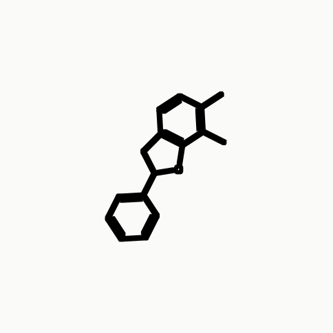 Cc1ccc2c(c1C)OC(c1ccccc1)C2